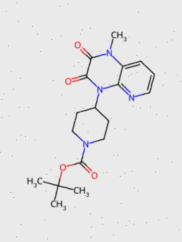 Cn1c(=O)c(=O)n(C2CCN(C(=O)OC(C)(C)C)CC2)c2ncccc21